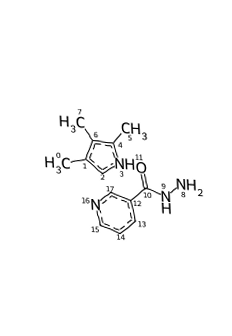 Cc1c[nH]c(C)c1C.NNC(=O)c1cccnc1